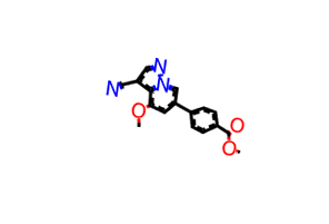 COC(=O)c1ccc(-c2cc(OC)c3c(C#N)cnn3c2)cc1